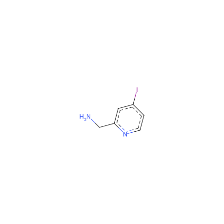 NCc1cc(I)ccn1